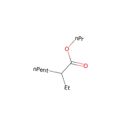 CCCCCC(CC)C(=O)OCCC